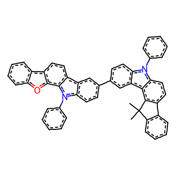 CC1(C)c2ccccc2-c2ccc3c(c21)c1cc(-c2ccc4c(c2)c2ccc5c6ccccc6oc5c2n4-c2ccccc2)ccc1n3-c1ccccc1